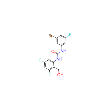 O=C(Nc1cc(F)cc(Br)c1)Nc1cc(F)cc(F)c1CO